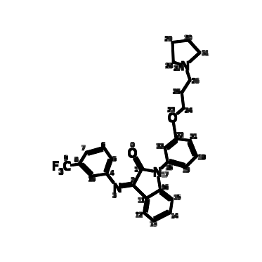 O=C1C(=Nc2cccc(C(F)(F)F)c2)c2ccccc2N1c1cccc(OCCCN2CCCC2)c1